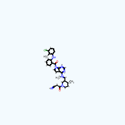 Cc1c(Cl)cccc1Nc1ccccc1C(=O)n1ccc2c(/[N+](C)=C/C3CN(C(=O)CC#N)CC[C@H]3C)ncnc21